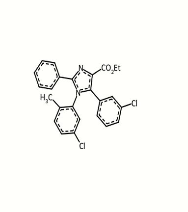 CCOC(=O)c1nc(-c2ccccc2)n(-c2cc(Cl)ccc2C)c1-c1cccc(Cl)c1